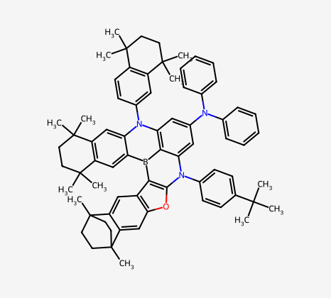 CC(C)(C)c1ccc(N2c3cc(N(c4ccccc4)c4ccccc4)cc4c3B(c3cc5c(cc3N4c3ccc4c(c3)C(C)(C)CCC4(C)C)C(C)(C)CCC5(C)C)c3c2oc2cc4c(cc32)C2(C)CCC4(C)CC2)cc1